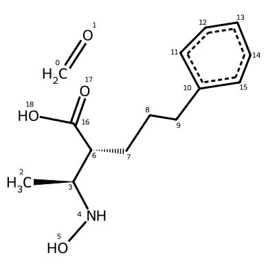 C=O.C[C@H](NO)[C@@H](CCCc1ccccc1)C(=O)O